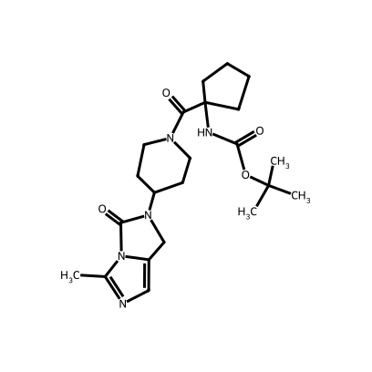 Cc1ncc2n1C(=O)N(C1CCN(C(=O)C3(NC(=O)OC(C)(C)C)CCCC3)CC1)C2